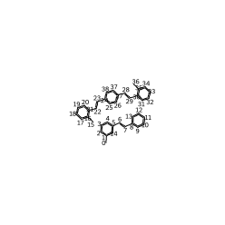 Cc1cccc(C=Cc2ccccc2)c1.Cc1ccccc1C=Cc1ccc(C=Cc2ccccc2C)cc1